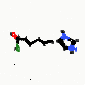 CCCCCC(=O)Cl.c1c[nH]cn1